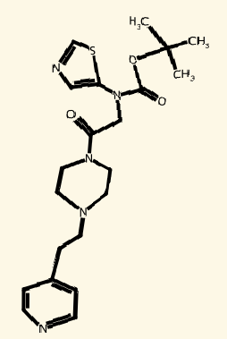 CC(C)(C)OC(=O)N(CC(=O)N1CCN(CCc2ccncc2)CC1)c1cncs1